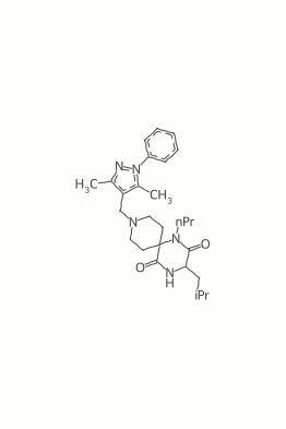 CCCN1C(=O)C(CC(C)C)NC(=O)C12CCN(Cc1c(C)nn(-c3ccccc3)c1C)CC2